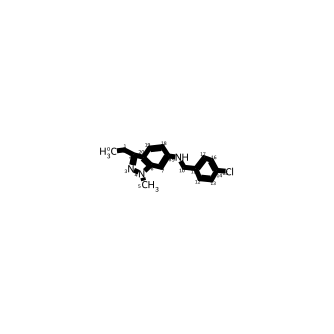 CCc1nn(C)c2cc(NCc3ccc(Cl)cc3)ccc12